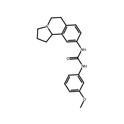 COc1cccc(NC(=O)Nc2ccc3c(c2)C2CCCN2CC3)c1